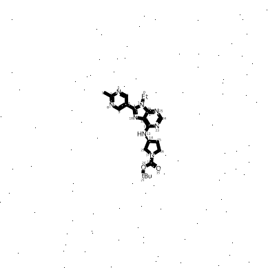 CCn1c(-c2cnc(C)nc2)nc2c(N[C@H]3CCN(C(=O)OC(C)(C)C)C3)ncnc21